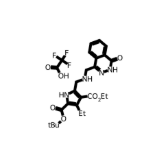 CCOC(=O)c1c(CNCc2n[nH]c(=O)c3ccccc23)[nH]c(C(=O)OC(C)(C)C)c1CC.O=C(O)C(F)(F)F